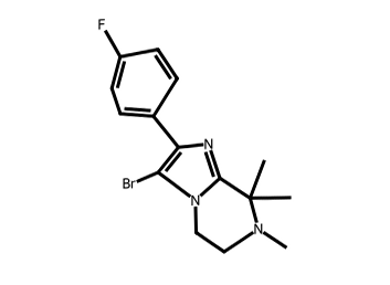 CN1CCn2c(nc(-c3ccc(F)cc3)c2Br)C1(C)C